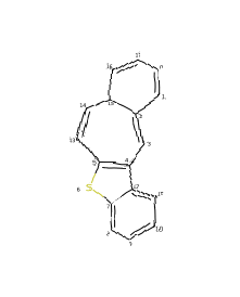 C1=CC2=Cc3c(sc4ccccc34)C=CC2C=C1